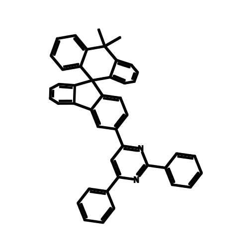 CC1(C)c2ccccc2C2(c3ccccc3-c3cc(-c4cc(-c5ccccc5)nc(-c5ccccc5)n4)ccc32)c2ccccc21